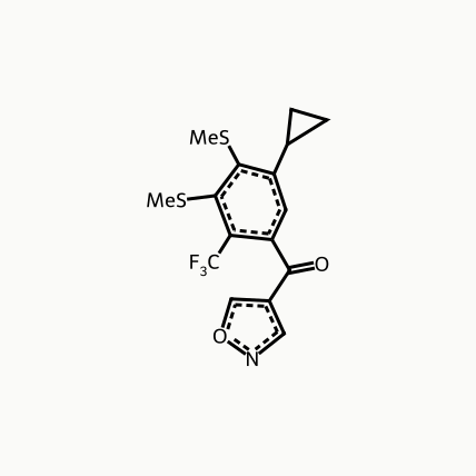 CSc1c(C2CC2)cc(C(=O)c2cnoc2)c(C(F)(F)F)c1SC